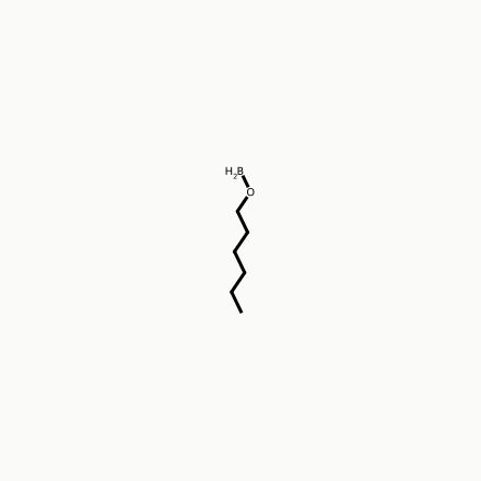 BOCCCCCC